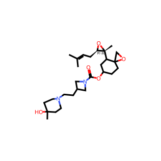 CC(C)=CC[C@H]1O[C@]1(C)C1CC(OC(=O)N2CC(CCN3CCC(C)(O)CC3)C2)CCC12CO2